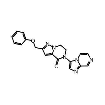 O=C1c2cc(COc3ccccc3)nn2CCN1c1cnc2cnccn12